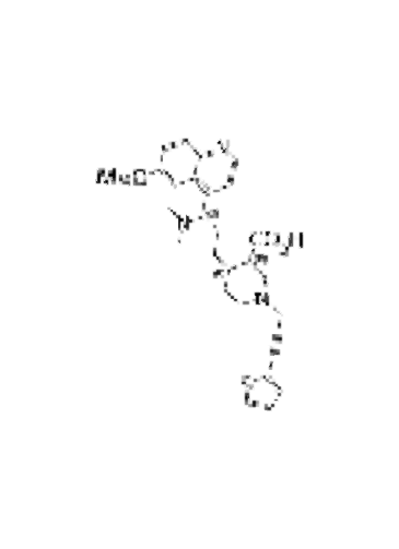 COc1ccc2nccc([C@H](CC[C@@H]3CCN(CC#Cc4cccs4)C[C@@H]3C(=O)O)N(C)C)c2c1